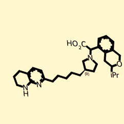 CC(C)C1Cc2c(cccc2C(C(=O)O)N2CC[C@@H](CCCCCc3ccc4c(n3)NCCC4)C2)CO1